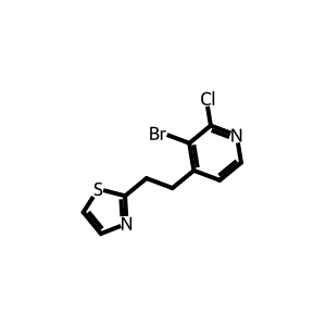 Clc1nccc(CCc2nccs2)c1Br